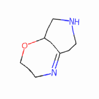 C1COC2CNCC2=N1